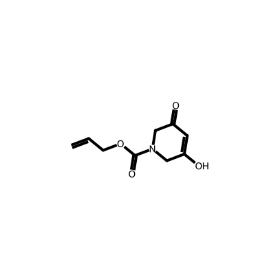 C=CCOC(=O)N1CC(=O)C=C(O)C1